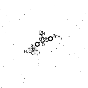 COc1ccc(C[C@H](NC(=O)c2cocn2)C(=O)Nc2ccc(S(=O)(=O)NC(C)(C)C)cc2)cc1